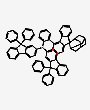 c1ccc(C2(c3ccccc3)c3ccccc3-c3ccc(N(c4ccc5c(c4)C(c4ccccc4)(c4ccccc4)c4ccccc4-5)c4ccccc4-c4cccc5c4-c4ccccc4C54C5CC6CC(C5)CC4C6)cc32)cc1